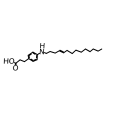 CCCCCCCCCC=CCCCNc1ccc(CCC(=O)O)cc1